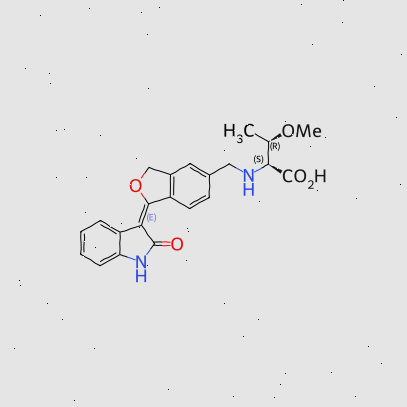 CO[C@H](C)[C@H](NCc1ccc2c(c1)CO/C2=C1/C(=O)Nc2ccccc21)C(=O)O